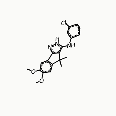 COc1cc2c(cc1OC)C(C)(C)c1c-2n[nH]c1Nc1cccc(Cl)c1